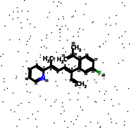 C=C/C(=C\C=C(/C)c1ccccn1)c1cc(F)ccc1C(=C)C